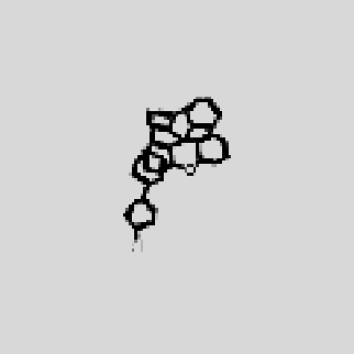 Clc1ccc(-c2ccc(-c3cccc4c3C3(c5ccccc5Oc5ccccc53)c3ccccc3-4)cc2)cc1